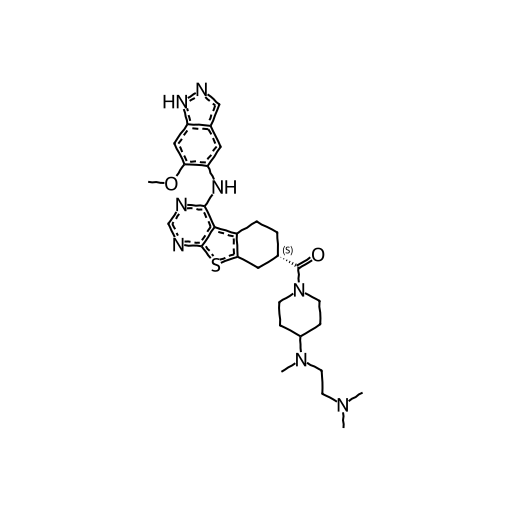 COc1cc2[nH]ncc2cc1Nc1ncnc2sc3c(c12)CC[C@H](C(=O)N1CCC(N(C)CCN(C)C)CC1)C3